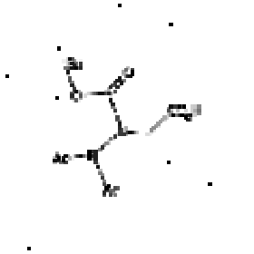 CC(=O)N(C(C)=O)N(CC(=O)O)C(=O)OC(C)(C)C